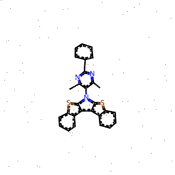 Cc1nc(-c2ccccc2)nc(C)c1-n1c2sc3ccccc3c2c2c3ccccc3sc21